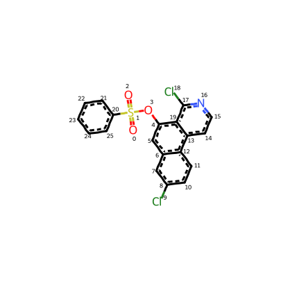 O=S(=O)(Oc1cc2cc(Cl)ccc2c2ccnc(Cl)c12)c1ccccc1